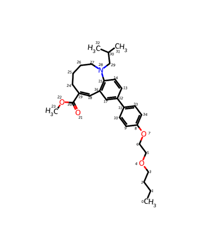 CCCCOCCOc1ccc(-c2ccc3c(c2)C=C(C(=O)OC)CCCCN3CC(C)C)cc1